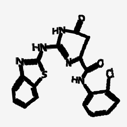 O=C1CC(C(=O)Nc2ccccc2Cl)N=C(Nc2nc3ccccc3s2)N1